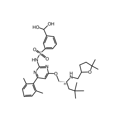 Cc1cccc(C)c1-c1cc(OC[C@@H](CC(C)(C)C)NCC2CCC(C)(C)O2)nc(NS(=O)(=O)c2cccc(C(O)O)c2)n1